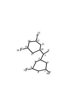 CC(C1CC(F)CC(F)C1)C1CC(F)CC(F)C1